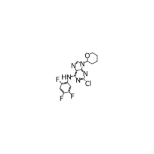 Fc1cc(F)c(Nc2nc(Cl)nc3c2ncn3C2CCCCO2)cc1F